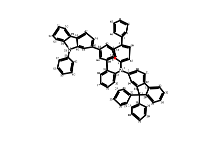 c1ccc(-c2ccc(N(c3ccc4c(c3)C(c3ccccc3)(c3ccccc3)c3ccccc3-4)c3ccccc3-c3cccc(-c4ccc5c6ccccc6n(-c6ccccc6)c5c4)c3)cc2)cc1